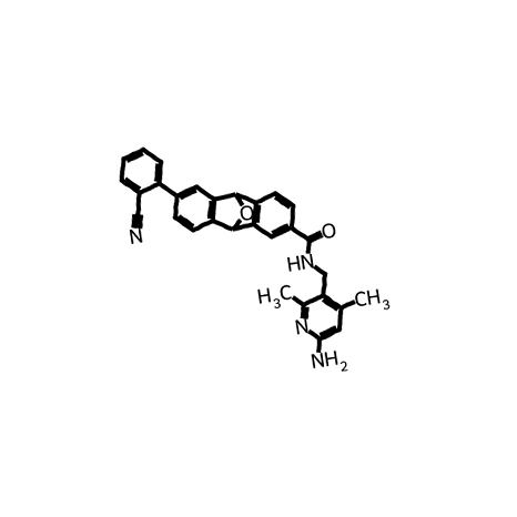 Cc1cc(N)nc(C)c1CNC(=O)c1ccc2c(c1)C1OC2c2cc(-c3ccccc3C#N)ccc21